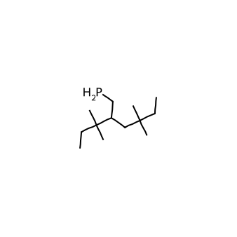 CCC(C)(C)CC(CP)C(C)(C)CC